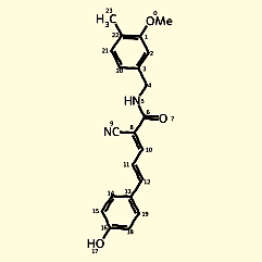 COc1cc(CNC(=O)/C(C#N)=C/C=C/c2ccc(O)cc2)ccc1C